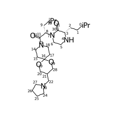 CC(C)CC[C@@H]1NCCN([C@@H](CC(C)C)C(=O)N2CCC3(CC2)OCC(CN2CCCC2)CO3)C1=O